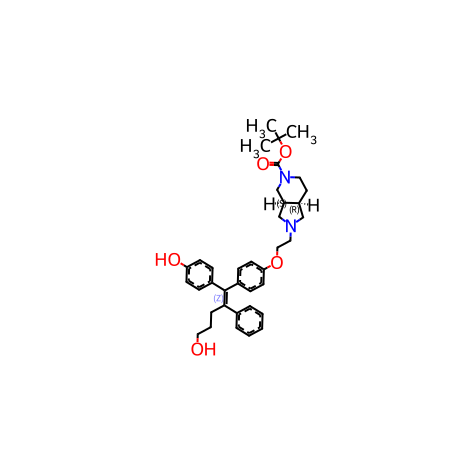 CC(C)(C)OC(=O)N1CC[C@H]2CN(CCOc3ccc(/C(=C(/CCCO)c4ccccc4)c4ccc(O)cc4)cc3)C[C@H]2C1